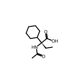 CC[C@](NC(C)=O)(C(=O)O)C1CCCCC1